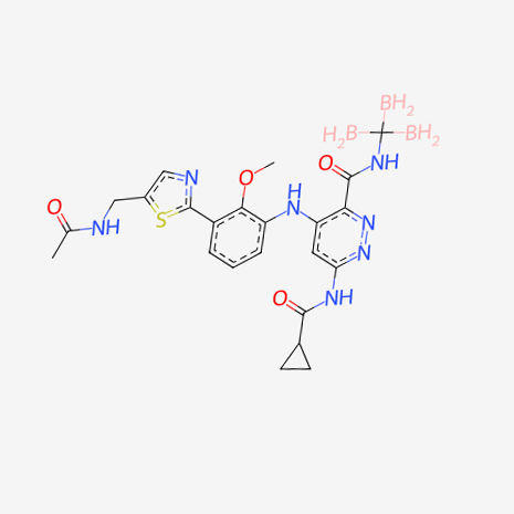 BC(B)(B)NC(=O)c1nnc(NC(=O)C2CC2)cc1Nc1cccc(-c2ncc(CNC(C)=O)s2)c1OC